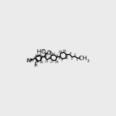 CCCCCC1CCC(C2CCC(CC(C(=O)O)c3ccc(C#N)c(F)c3)CC2)CC1